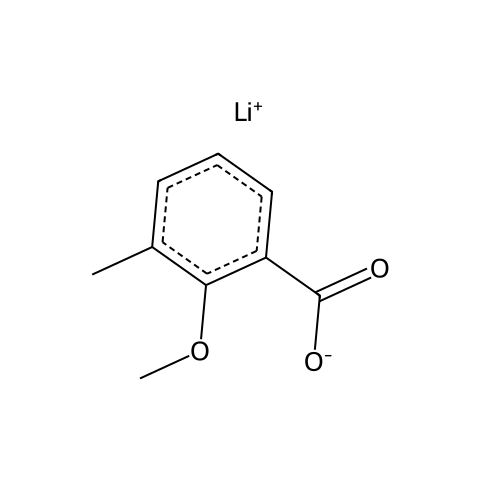 COc1c(C)cccc1C(=O)[O-].[Li+]